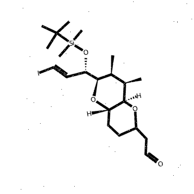 C[C@@H]1[C@H](C)[C@H]([C@H](/C=C/I)O[Si](C)(C)C(C)(C)C)O[C@H]2CCC(CC=O)O[C@H]12